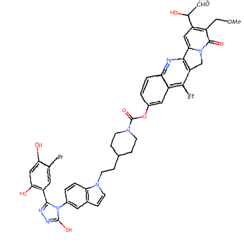 CCc1c2c(nc3ccc(OC(=O)N4CCC(CCn5ccc6cc(-n7c(O)nnc7-c7cc(C(C)C)c(O)cc7O)ccc65)CC4)cc13)-c1cc(C(O)C=O)c(COC)c(=O)n1C2